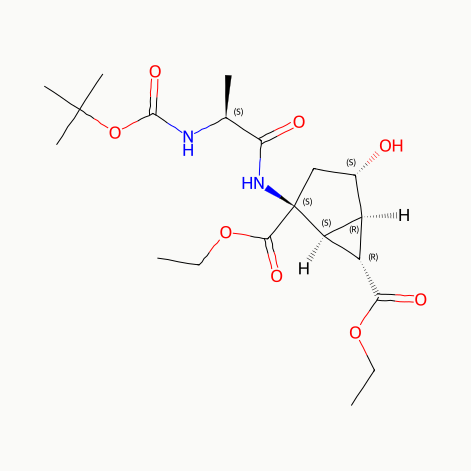 CCOC(=O)[C@H]1[C@H]2[C@@H]1[C@](NC(=O)[C@H](C)NC(=O)OC(C)(C)C)(C(=O)OCC)C[C@@H]2O